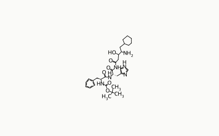 CC(C)(C)OC(=O)N[C@@H](Cc1ccccc1)C(=O)N[C@@H](Cc1c[nH]cn1)C(=O)NC(=O)CC(O)C(N)CC1CCCCC1